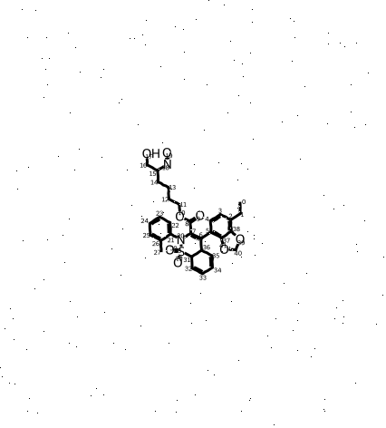 CCc1ccc(C2=C(C(=O)OCCCCC(CO)N=O)N(c3ccccc3C)S(=O)(=O)C3C=CC=CC23)c2c1OCO2